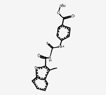 CCCCOC(=O)c1ccc(NC(=S)NC(=O)c2oc3ccccc3c2C)cc1